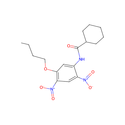 CCCCOc1cc(NC(=O)C2CCCCC2)c([N+](=O)[O-])cc1[N+](=O)[O-]